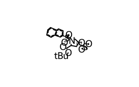 CC(C)(C)OC(=O)C1C[C@H](OS(C)(=O)=O)CN1S(=O)(=O)c1ccc2ccccc2c1